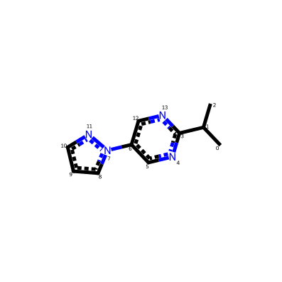 CC(C)c1ncc(-n2cccn2)cn1